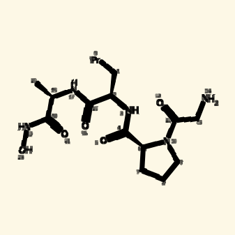 CC(C)C[C@@H](NC(=O)[C@@H]1CCCN1C(=O)CN)C(=O)N[C@H](C)C(=O)NO